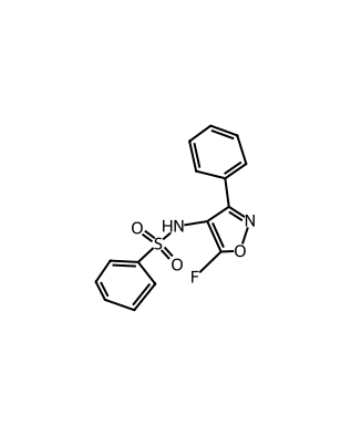 O=S(=O)(Nc1c(-c2ccccc2)noc1F)c1ccccc1